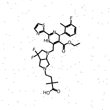 CCOC(=O)C1=C(CN2CC(F)(F)C3CN(CCC(C)(C)C(=O)O)CC32)NC(c2nccs2)=N[C@H]1c1cccc(F)c1C